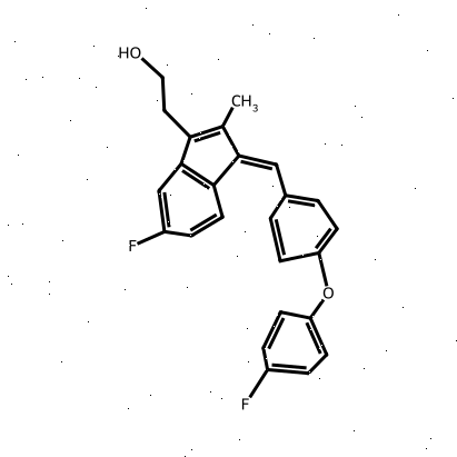 CC1=C(CCO)c2cc(F)ccc2/C1=C\c1ccc(Oc2ccc(F)cc2)cc1